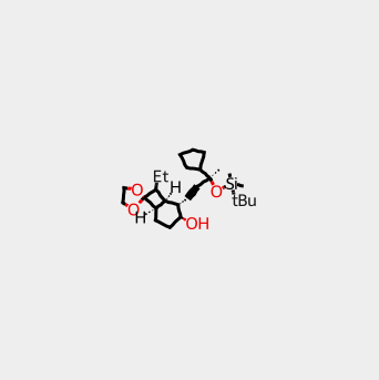 CCC1[C@H]2[C@H](C#C[C@](C)(O[Si](C)(C)C(C)(C)C)C3CCCC3)[C@@H](O)CC[C@H]2C12OCCO2